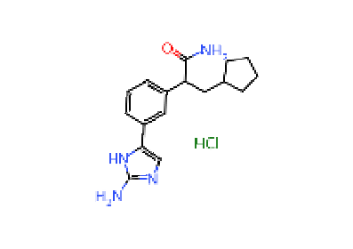 Cl.NC(=O)C(CC1CCCC1)c1cccc(-c2cnc(N)[nH]2)c1